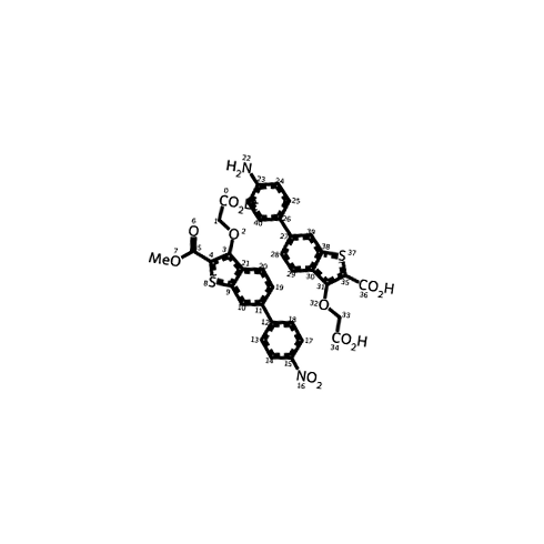 CCOC(=O)COc1c(C(=O)OC)sc2cc(-c3ccc([N+](=O)[O-])cc3)ccc12.Nc1ccc(-c2ccc3c(OCC(=O)O)c(C(=O)O)sc3c2)cc1